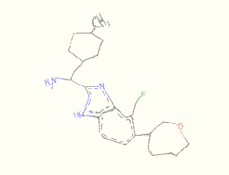 CC1CCC(C(N)c2nc3c(F)c(C4CCCOC4)ccc3[nH]2)CC1